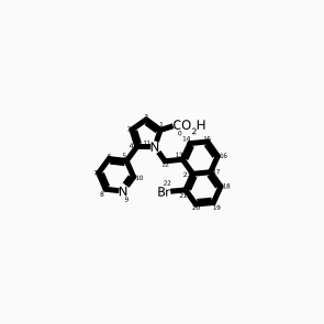 O=C(O)c1ccc(-c2cccnc2)n1Cc1cccc2cccc(Br)c12